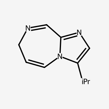 CC(C)c1cnc2n1C=CCN=C2